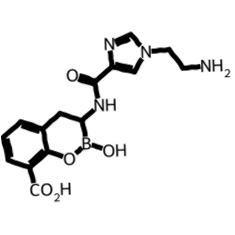 NCCn1cnc(C(=O)NC2Cc3cccc(C(=O)O)c3OB2O)c1